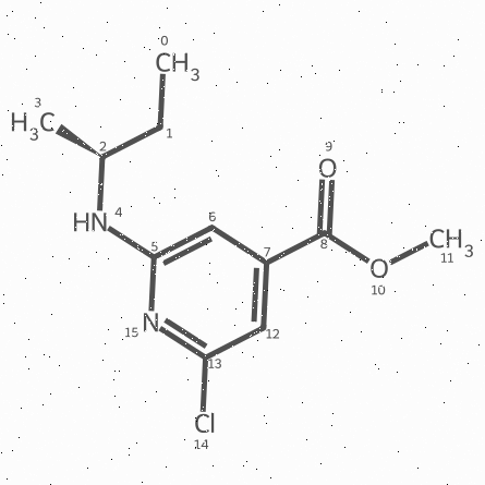 CC[C@H](C)Nc1cc(C(=O)OC)cc(Cl)n1